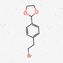 BrCCc1ccc(C2OCCO2)cc1